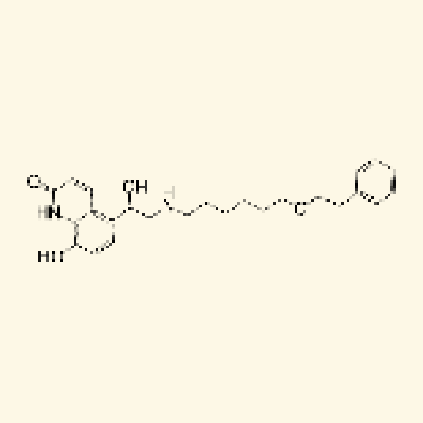 O=c1ccc2c([C@@H](O)CNCCCCCCOCCc3ccccc3)ccc(O)c2[nH]1